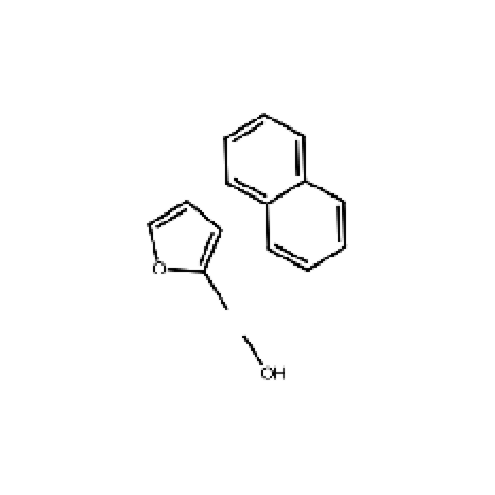 CO.Cc1ccco1.c1ccc2ccccc2c1